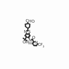 CC(C)(O)c1cc2nc(C3CCC(C=O)CC3)sc2cc1NC(=O)c1cccc(C(F)(F)F)n1